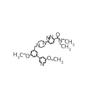 CCOc1cncc(-c2cc(CN3CCN(c4ccc(C(=O)N(CC)CC)nn4)CC3)cc(OCC)c2)c1